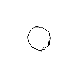 [CH]1C/C=C\CCCCCCC1